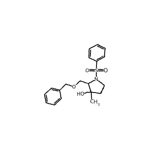 CC1(O)CCN(S(=O)(=O)c2ccccc2)C1COCc1ccccc1